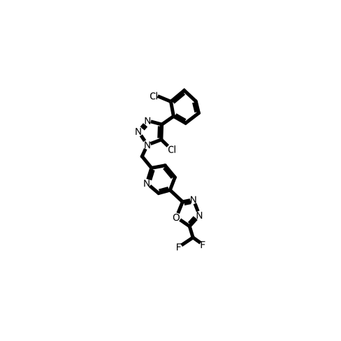 FC(F)c1nnc(-c2ccc(Cn3nnc(-c4ccccc4Cl)c3Cl)nc2)o1